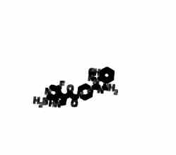 Bc1ncc(F)c2c(C(=O)C(=O)N3CCN(/C(=N/N)N(N=C)c4ccccc4)CC3)c[nH]c12